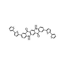 O=c1c2cc(-c3ccc(-c4cccs4)s3)ccc2[nH]c2cc3c(=O)c4cc(-c5ccc(-c6cccs6)s5)ccc4[nH]c3cc12